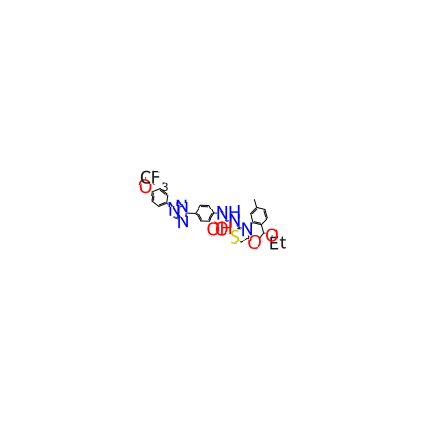 CCOC(C)c1ccc(C)cc1N1C(=O)CS/C1=N\C(=O)Nc1ccc(-c2ncn(-c3ccc(OC(F)(F)F)cc3)n2)cc1O